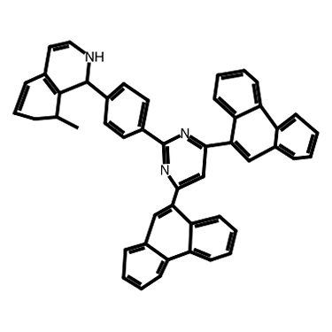 CC1CC=CC2=C1C(c1ccc(-c3nc(-c4cc5ccccc5c5ccccc45)cc(-c4cc5ccccc5c5ccccc45)n3)cc1)NC=C2